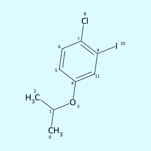 CC(C)Oc1ccc(Cl)c(I)c1